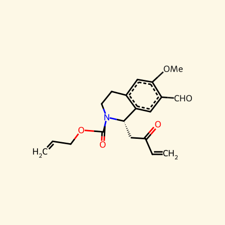 C=CCOC(=O)N1CCc2cc(OC)c(C=O)cc2[C@@H]1CC(=O)C=C